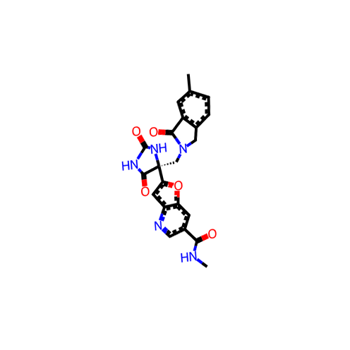 CNC(=O)c1cnc2cc([C@]3(CN4Cc5ccc(C)cc5C4=O)NC(=O)NC3=O)oc2c1